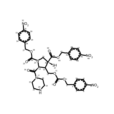 O=C(OCc1ccc([N+](=O)[O-])cc1)OCC1[C@@H](C(=O)N2CCNCC2)N(C(=O)OCc2ccc([N+](=O)[O-])cc2)C[C@]1(S)C(=O)OCc1ccc([N+](=O)[O-])cc1